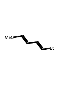 CC/C=C/C=C/OC